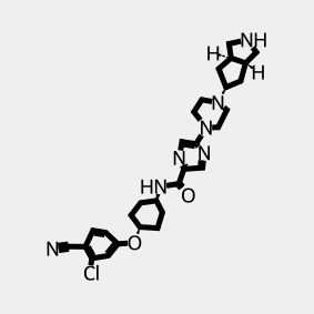 N#Cc1ccc(O[C@H]2CC[C@H](NC(=O)c3cnc(N4CCN([C@@H]5C[C@H]6CNC[C@H]6C5)CC4)cn3)CC2)cc1Cl